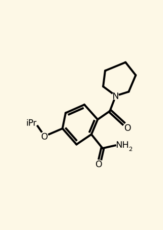 CC(C)Oc1ccc(C(=O)N2CCCCC2)c(C(N)=O)c1